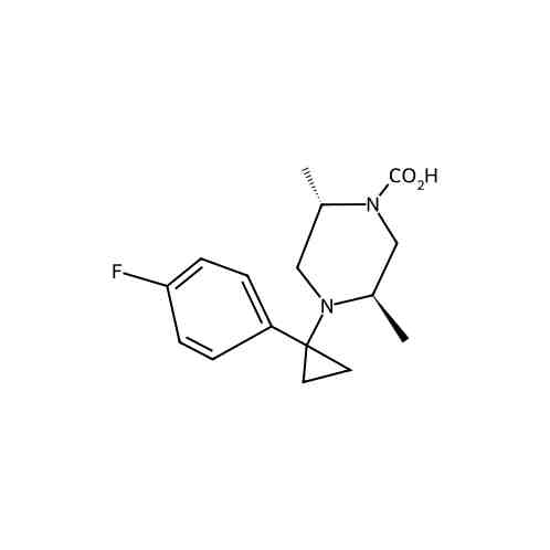 C[C@@H]1CN(C(=O)O)[C@@H](C)CN1C1(c2ccc(F)cc2)CC1